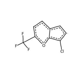 FC(F)(F)c1ccc2c[c]c(Cl)c-2o1